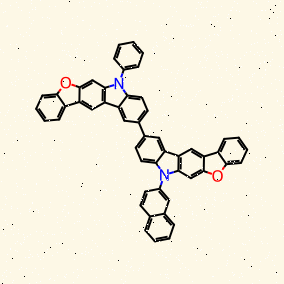 c1ccc(-n2c3ccc(-c4ccc5c(c4)c4cc6c(cc4n5-c4ccc5ccccc5c4)oc4ccccc46)cc3c3cc4c(cc32)oc2ccccc24)cc1